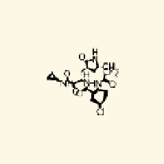 C[C@@H]1C[C@@H](C[C@H](NC(=O)c2cc(Cl)ccc2NC(=O)C(F)(F)F)C(=O)C(=O)NC2CC2)C(=O)N1